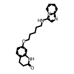 O=C1CCc2ccc(OCCCCCNc3cnc4ccccn34)cc2N1